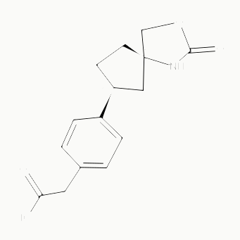 O=C(O)Cc1ccc([C@H]2CC[C@]3(COC(=O)N3)C2)cc1